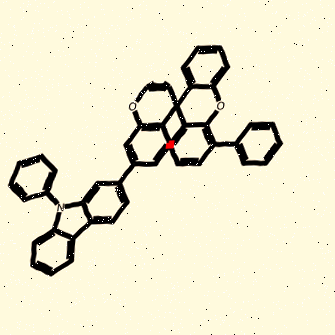 c1ccc(-c2cccc3c2Oc2ccccc2C32c3ccccc3Oc3cc(-c4ccc5c6ccccc6n(-c6ccccc6)c5c4)ccc32)cc1